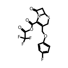 O=C(OC(=O)C(F)(F)F)C1=C(COc2ccc(F)cc2)CSC2CC(=O)N12